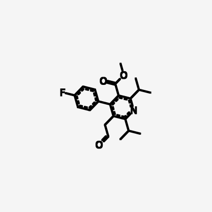 COC(=O)c1c(C(C)C)nc(C(C)C)c(CC=O)c1-c1ccc(F)cc1